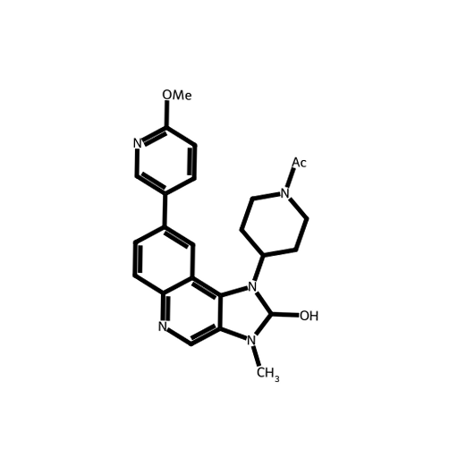 COc1ccc(-c2ccc3ncc4c(c3c2)N(C2CCN(C(C)=O)CC2)C(O)N4C)cn1